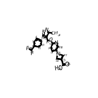 Cc1nnn(-c2ccc(C(F)F)cc2)c1COc1ccc(N2CC(C(=O)O)C2)cn1